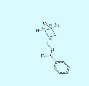 O=C(OC[C@H]1C[C@@H]2O[C@H]12)c1ccccc1